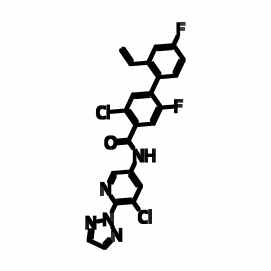 C=Cc1cc(F)ccc1-c1cc(Cl)c(C(=O)Nc2cnc(-n3nccn3)c(Cl)c2)cc1F